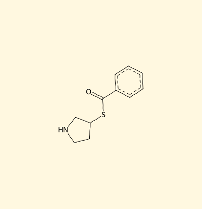 O=C(SC1CCNC1)c1ccccc1